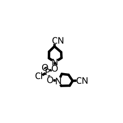 N#CC1CCN(OP(=O)(Cl)ON2CCC(C#N)CC2)CC1